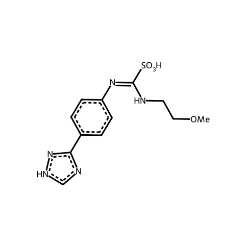 COCCNC(=Nc1ccc(-c2nc[nH]n2)cc1)S(=O)(=O)O